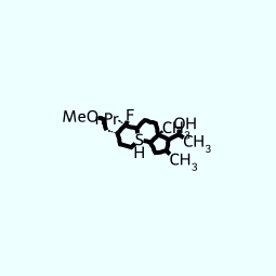 CCC[C@]1(F)C2CC[C@]3(C)C(C(C)O)C(C)CC3[SH]2CC[C@@H]1CCOC